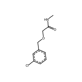 CNC(=O)COCc1cccc(Cl)c1